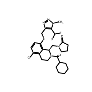 Cn1nnc(COc2ccc(Cl)c3c2[C@@H](CN2CCCC2=O)N(C(=O)C2CCCCC2)CC3)c1C(F)F